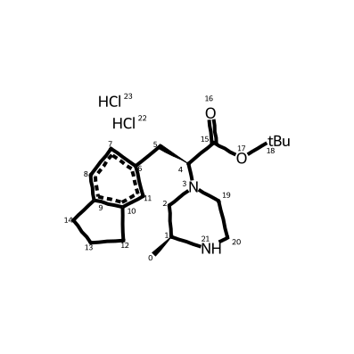 C[C@H]1CN([C@@H](Cc2ccc3c(c2)CCC3)C(=O)OC(C)(C)C)CCN1.Cl.Cl